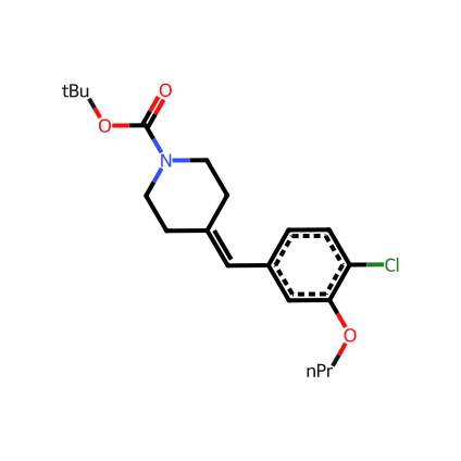 CCCOc1cc(C=C2CCN(C(=O)OC(C)(C)C)CC2)ccc1Cl